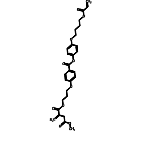 C=CC(=O)OCCCCOc1ccc(OC(=O)c2ccc(OCCCOC(=O)C(=C)CC(=O)OC)cc2)cc1